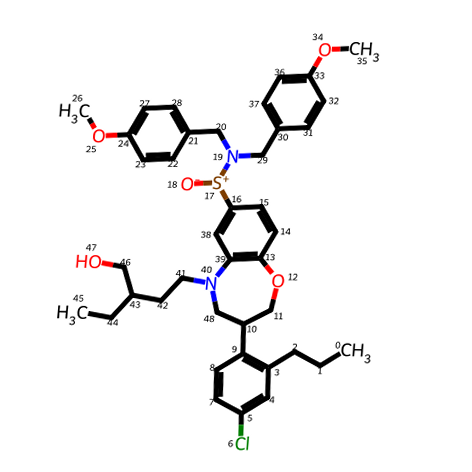 CCCc1cc(Cl)ccc1C1COc2ccc([S+]([O-])N(Cc3ccc(OC)cc3)Cc3ccc(OC)cc3)cc2N(CCC(CC)CO)C1